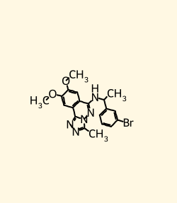 COc1cc2c(NC(C)c3cccc(Br)c3)nn3c(C)nnc3c2cc1OC